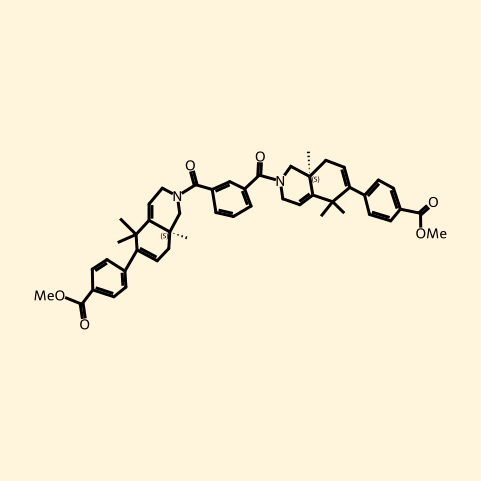 COC(=O)c1ccc(C2=CC[C@]3(C)CN(C(=O)c4cccc(C(=O)N5CC=C6C(C)(C)C(c7ccc(C(=O)OC)cc7)=CC[C@]6(C)C5)c4)CC=C3C2(C)C)cc1